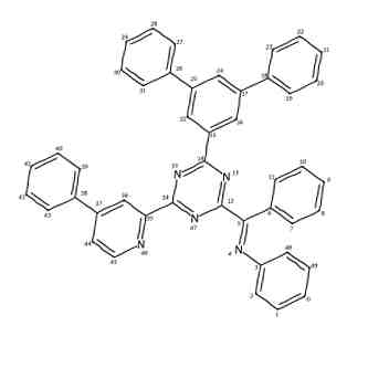 c1ccc(/N=C(\c2ccccc2)c2nc(-c3cc(-c4ccccc4)cc(-c4ccccc4)c3)nc(-c3cc(-c4ccccc4)ccn3)n2)cc1